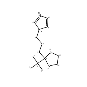 CC(C)(C)C1(CCCn2ccnc2)SCCS1